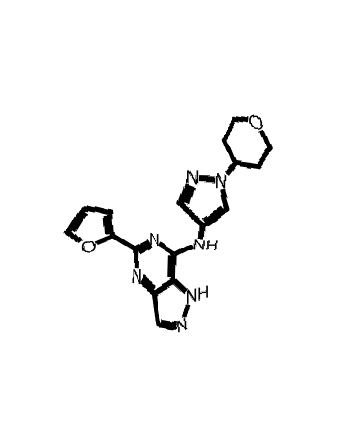 c1coc(-c2nc(Nc3cnn(C4CCOCC4)c3)c3[nH]ncc3n2)c1